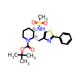 CC(C)(C)OC(=O)N1CCC[C@H](NS(C)(=O)=O)[C@@H]1Cc1csc(-c2ccccc2)n1